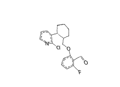 O=Cc1c(F)cccc1OCC1CCCCC1c1cccnc1Cl